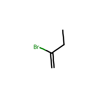 C=C(Br)CC